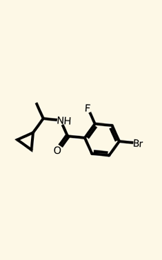 CC(NC(=O)c1ccc(Br)cc1F)C1CC1